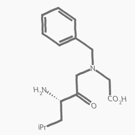 CC(C)C[C@H](N)C(=O)CN(CC(=O)O)Cc1ccccc1